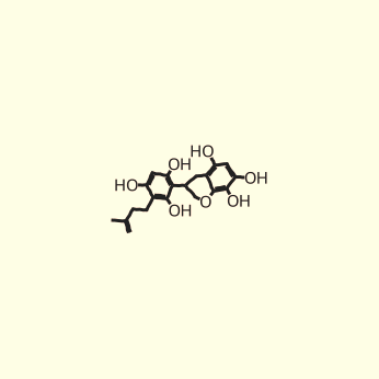 C=C(C)CCc1c(O)cc(O)c(C2COc3c(O)c(O)cc(O)c3C2)c1O